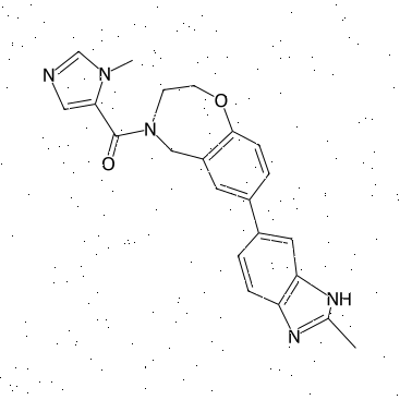 Cc1nc2ccc(-c3ccc4c(c3)CN(C(=O)c3cncn3C)CCO4)cc2[nH]1